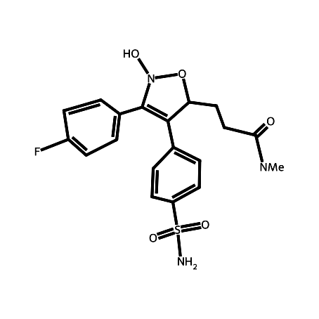 CNC(=O)CCC1ON(O)C(c2ccc(F)cc2)=C1c1ccc(S(N)(=O)=O)cc1